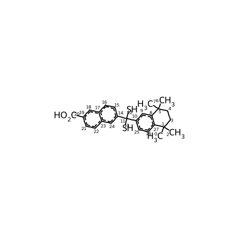 CC1(C)CCC(C)(C)c2cc(C(S)(S)c3ccc4cc(C(=O)O)ccc4c3)ccc21